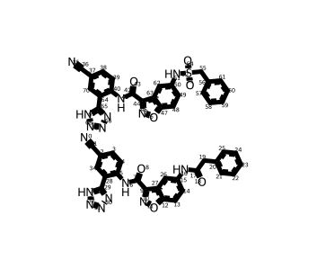 N#Cc1ccc(NC(=O)c2noc3ccc(NC(=O)Cc4ccccc4)cc23)c(-c2nnn[nH]2)c1.N#Cc1ccc(NC(=O)c2noc3ccc(NS(=O)(=O)Cc4ccccc4)cc23)c(-c2nnn[nH]2)c1